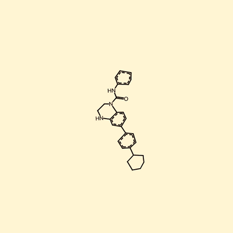 O=C(Nc1ccccc1)N1CCNc2cc(-c3ccc(C4CCCCC4)cc3)ccc21